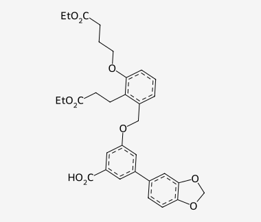 CCOC(=O)CCCOc1cccc(COc2cc(C(=O)O)cc(-c3ccc4c(c3)OCO4)c2)c1CCC(=O)OCC